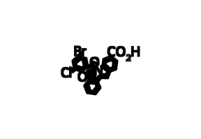 O=C(O)c1ccc2cc(-c3ccccc3)n(S(=O)(=O)c3cc(Br)cc(Cl)c3O)c2c1